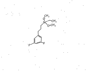 CC[Si](CCCc1cc(F)cc(F)c1)(OC)OC